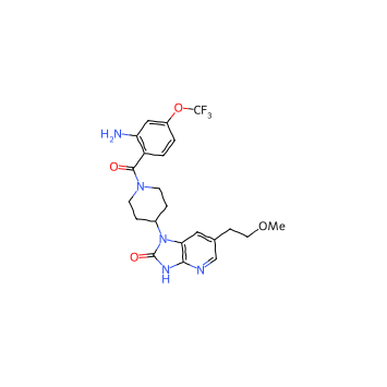 COCCc1cnc2[nH]c(=O)n(C3CCN(C(=O)c4ccc(OC(F)(F)F)cc4N)CC3)c2c1